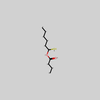 CCCCCC(S)OC(=O)CCC